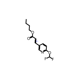 CCCCOC(=O)/C=C/c1ccc(OC(F)F)nc1